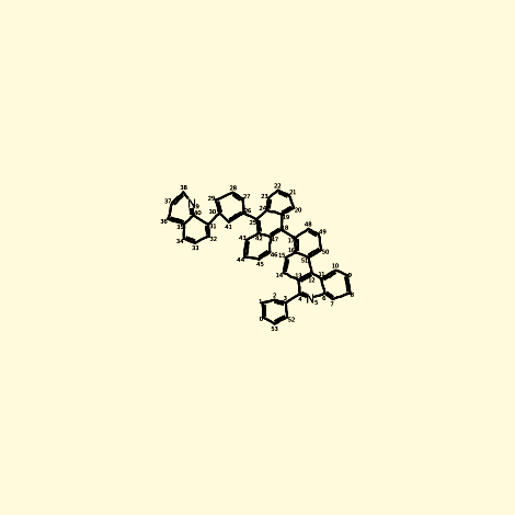 c1ccc(-c2nc3ccccc3c3c2ccc2c(-c4c5ccccc5c(-c5cccc(-c6cccc7cccnc67)c5)c5ccccc45)cccc23)cc1